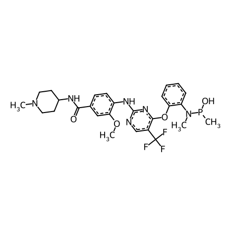 COc1cc(C(=O)NC2CCN(C)CC2)ccc1Nc1ncc(C(F)(F)F)c(Oc2ccccc2N(C)P(C)O)n1